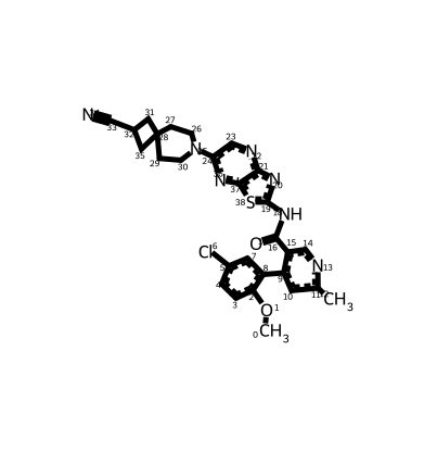 COc1ccc(Cl)cc1-c1cc(C)ncc1C(=O)Nc1nc2ncc(N3CCC4(CC3)CC(C#N)C4)nc2s1